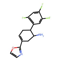 NC1CC(c2ncco2)=CCC1c1cc(F)c(F)cc1F